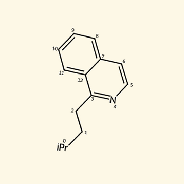 CC(C)CCc1nccc2ccccc12